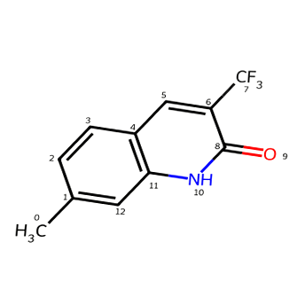 Cc1ccc2cc(C(F)(F)F)c(=O)[nH]c2c1